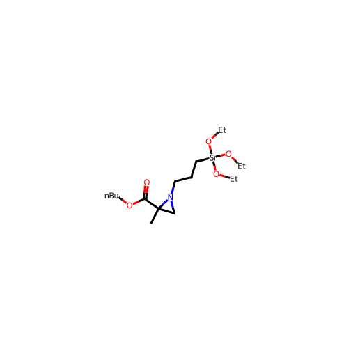 CCCCOC(=O)C1(C)CN1CCC[Si](OCC)(OCC)OCC